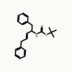 CC(C)(C)OC(=O)NC(C=CCc1ccccc1)Cc1ccccc1